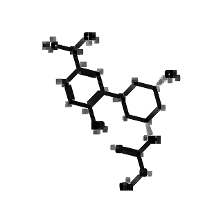 C[C@@H]1C[C@H](NC(=O)OC(C)(C)C)CN(c2cc(N(C)C)ncc2[N+](=O)[O-])C1